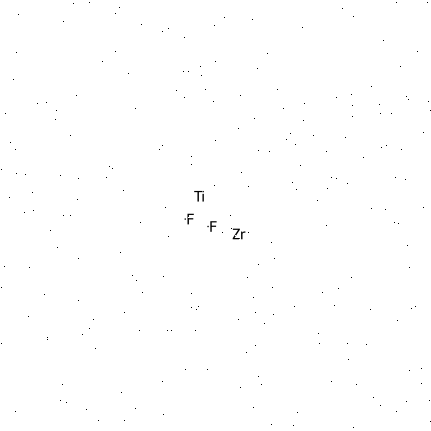 [F].[F].[Ti].[Zr]